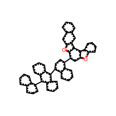 c1ccc2cc3c(cc2c1)oc1c(-c2ccc(-c4c5ccccc5c(-c5cccc6ccccc56)c5ccccc45)c4ccccc24)cc2oc4ccccc4c2c13